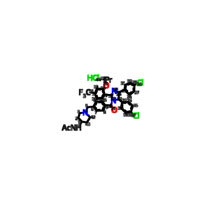 CC(=O)NC1CCN(Cc2ccc(C(=O)N3C(c4ccc(C(F)(F)F)cc4OC(C)C)=NC(c4ccc(Cl)cc4)C3c3ccc(Cl)cc3)cc2)CC1.Cl